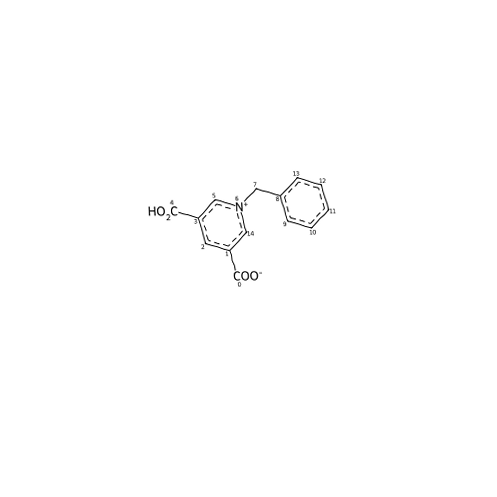 O=C([O-])c1cc(C(=O)O)c[n+](Cc2ccccc2)c1